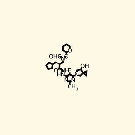 Cc1nc(NNC(=O)[C@@H](CC2CCCC2)CN(C=O)OC2CCCCO2)c(F)c(N2CC(O)C3(CC3)C2)n1